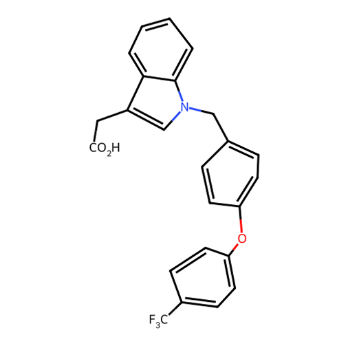 O=C(O)Cc1cn(Cc2ccc(Oc3ccc(C(F)(F)F)cc3)cc2)c2ccccc12